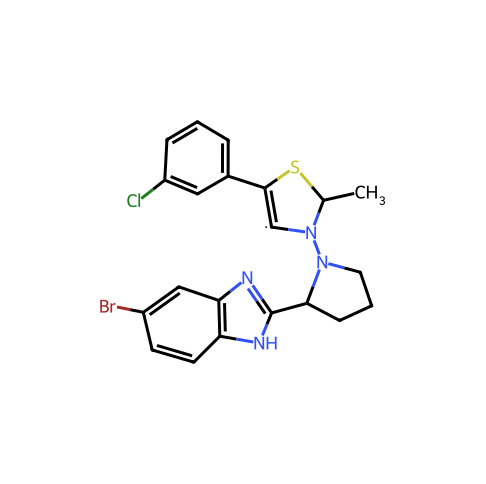 CC1SC(c2cccc(Cl)c2)=[C]N1N1CCCC1c1nc2cc(Br)ccc2[nH]1